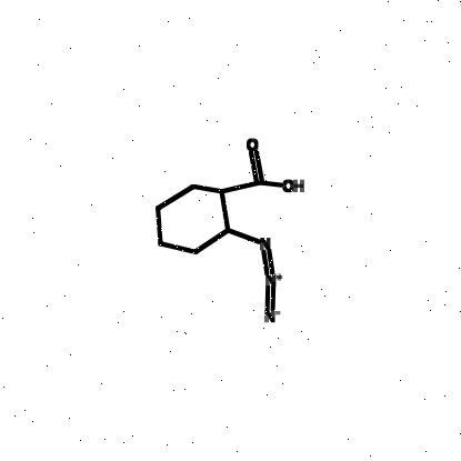 [N-]=[N+]=NC1CCCCC1C(=O)O